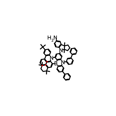 CC(C)(C)c1ccc(N2c3cc4c(cc3B3c5ccc(-c6ccccc6)cc5N(c5cccc(-c6ccccc6)c5)c5cc(N6c7ccc(N)cc7C7(C)CCCC67C)cc2c53)C(C)(C)CCC4(C)C)c(-c2ccccc2)c1